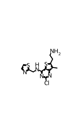 Cc1c(CCN)sc2c(NCc3nccs3)nc(Cl)nc12